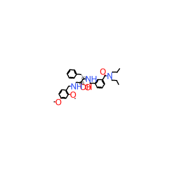 CCCN(CCC)C(=O)c1cccc(C(=O)N[C@@H](Cc2ccccc2)[C@H](O)CNCc2ccc(OC)cc2OC)c1